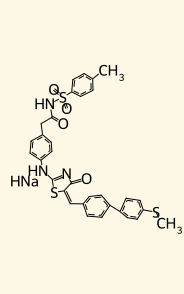 CSc1ccc(-c2ccc(/C=C3/SC(Nc4ccc(CC(=O)NS(=O)(=O)c5ccc(C)cc5)cc4)=NC3=O)cc2)cc1.[NaH]